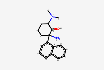 CN(C)C1CCCC(N)(c2cccc3ccccc23)C1=O